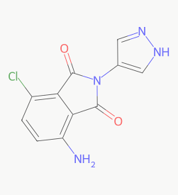 Nc1ccc(Cl)c2c1C(=O)N(c1cn[nH]c1)C2=O